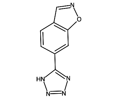 c1cc2cnoc2cc1-c1nnn[nH]1